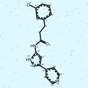 O=C(CCc1cccc(Cl)c1)Nc1cc(-c2ccncc2)n[nH]1